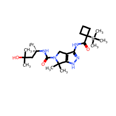 CC(C)[C@@H](CC(C)(C)O)NC(=O)N1Cc2c(NC(=O)C3([Si](C)(C)C)CCC3)n[nH]c2C1(C)C